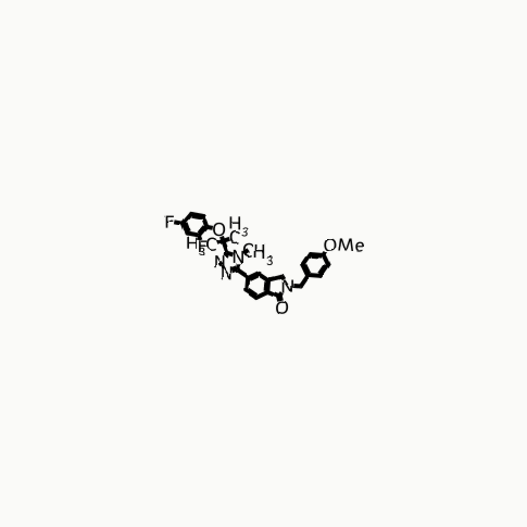 COc1ccc(CN2Cc3cc(-c4nnc(C(C)(C)Oc5ccc(F)cc5F)n4C)ccc3C2=O)cc1